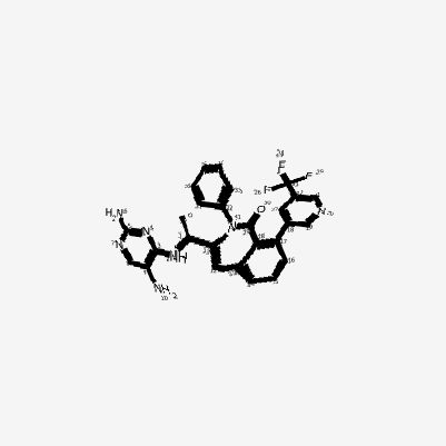 C[C@H](Nc1nc(N)ncc1N)c1cc2cccc(-c3cncc(C(F)(F)F)c3)c2c(=O)n1-c1ccccc1